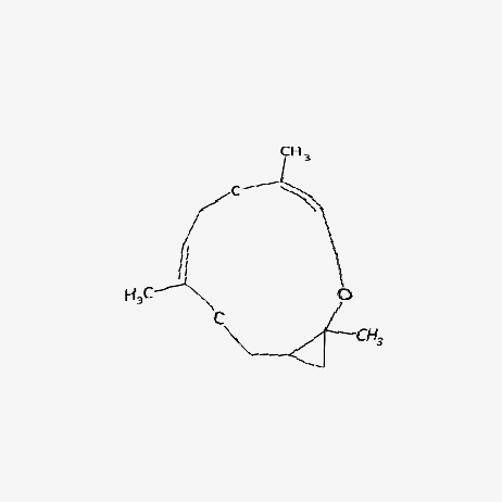 CC1=CCOC2(C)CC2CCC(C)=CCC1